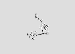 COCCCCCS(=O)(=O)c1cccc(CCCNC(=O)C(F)(F)F)c1